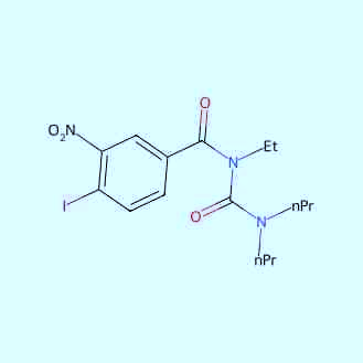 CCCN(CCC)C(=O)N(CC)C(=O)c1ccc(I)c([N+](=O)[O-])c1